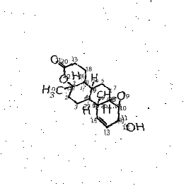 C[C@]12CC[C@H]3[C@@H](CC[C@]45O[C@H]4[C@H](O)C=C[C@]35C)[C@@H]1CCC(=O)O2